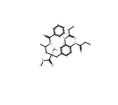 CCC(=O)Oc1ccc(C[C@](N)(CC(C)OC(=O)c2ccccc2)C(=O)OC)cc1OC(=O)CC